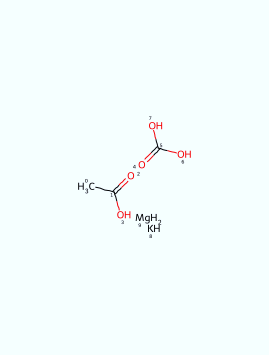 CC(=O)O.O=C(O)O.[KH].[MgH2]